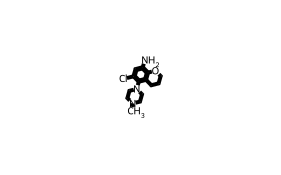 CN1CCN(c2c(Cl)cc(N)c3c2CCCO3)CC1